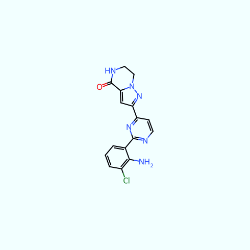 Nc1c(Cl)cccc1-c1nccc(-c2cc3n(n2)CCNC3=O)n1